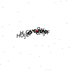 C[C@H]1CN(Cc2ccc(N(C)C(=O)c3ccc(N4CCC(F)CC4)nc3)cc2)CCN1C(=O)O